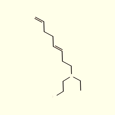 C=CCCC=CCCN(CC)CCO